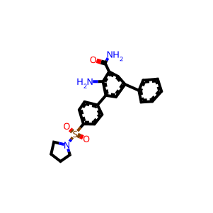 NC(=O)c1cc(-c2ccccc2)cc(-c2ccc(S(=O)(=O)N3CCCC3)cc2)c1N